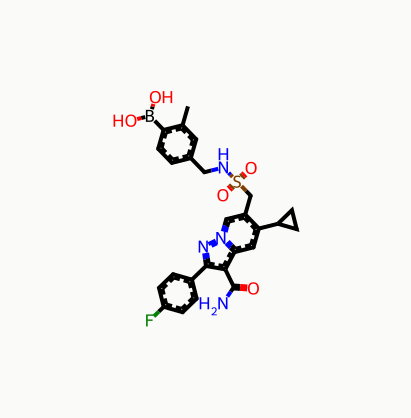 Cc1cc(CNS(=O)(=O)Cc2cn3nc(-c4ccc(F)cc4)c(C(N)=O)c3cc2C2CC2)ccc1B(O)O